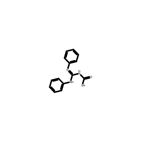 O=C(S)N/C(=N\c1ccccc1)Nc1ccccc1